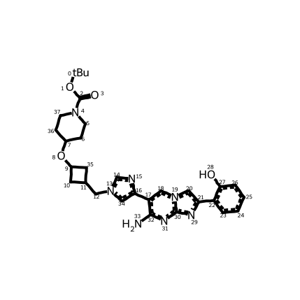 CC(C)(C)OC(=O)N1CCC(OC2CC(Cn3cnc(-c4cn5cc(-c6ccccc6O)nc5nc4N)c3)C2)CC1